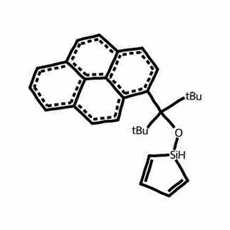 CC(C)(C)C(O[SiH]1C=CC=C1)(c1ccc2ccc3cccc4ccc1c2c34)C(C)(C)C